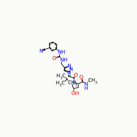 CNC(=O)C1CC(O)CN1C(=O)[C@@H](n1cc(CNC(=O)Nc2cccc(C#N)c2)nn1)C(C)(C)C